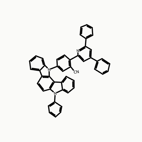 N#Cc1cc(-n2c3ccccc3c3ccc4c(c5ccccc5n4-c4ccccc4)c32)ccc1-c1cc(-c2ccccc2)cc(-c2ccccc2)n1